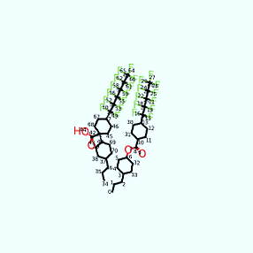 CCCC1CCC(OC(=O)C2CCC(C(F)(F)C(F)(F)C(F)(F)C(F)(F)C(F)(F)F)CC2)CC1.CCCC1CCC([C@]2(C(=O)O)CC[C@H](C(F)(F)C(F)(F)C(F)(F)C(F)(F)C(F)(F)C(F)(F)F)CC2)CC1